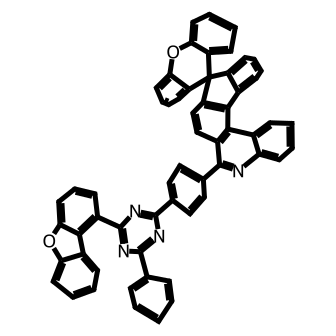 c1ccc(-c2nc(-c3ccc(-c4nc5ccccc5c5c6c(ccc45)C4(c5ccccc5Oc5ccccc54)c4ccccc4-6)cc3)nc(-c3cccc4oc5ccccc5c34)n2)cc1